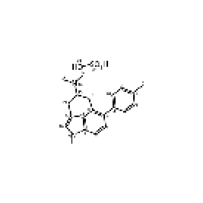 Cc1ccc(-c2ccc3[nH]cc4c3c2CC(N(C)C)C4)cc1.O=S(=O)(O)O